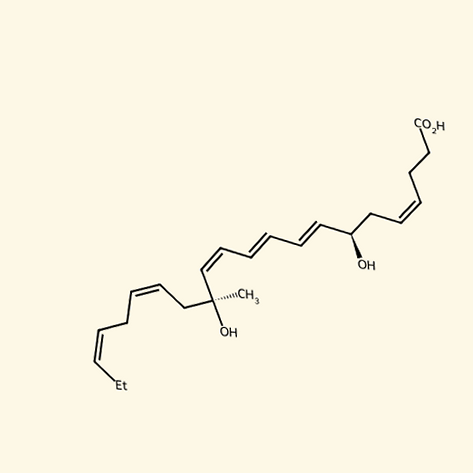 CC/C=C\C/C=C\C[C@](C)(O)\C=C/C=C/C=C/[C@H](O)C/C=C\CCC(=O)O